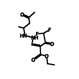 CCOC(=O)C(=CNNC(C)CC(C)=O)C(=O)C(F)F